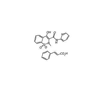 CN1C(C(=O)Nc2ccccn2)=C(O)c2ccccc2S1(=O)=O.O=C(O)C=Cc1ccccc1